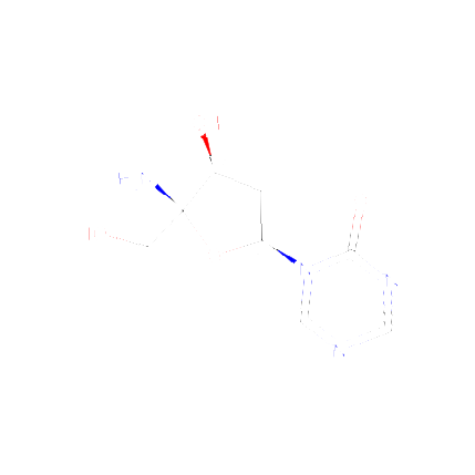 N[C@]1(CO)O[C@H](n2cncnc2=O)C[C@@H]1O